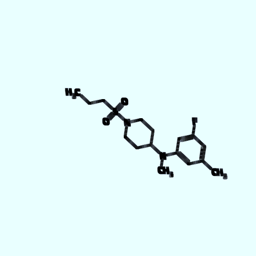 CCCS(=O)(=O)N1CCC(N(C)c2cc(C)cc(F)c2)CC1